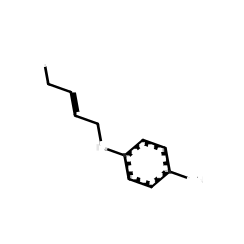 N#Cc1ccc(NCC=CCO)cc1